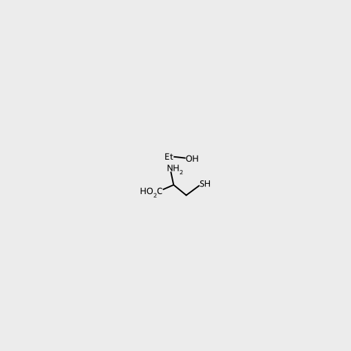 CCO.NC(CS)C(=O)O